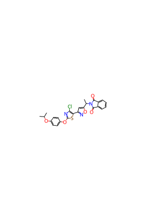 CC(C)Oc1ccc(Oc2nc(Cl)c(-c3cc(C(C)N4C(=O)c5ccccc5C4=O)on3)s2)cc1